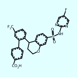 O=C(O)c1ccc(-c2cc(C(F)(F)F)ccc2C2CCOc3cc(S(=O)(=O)Nc4ncc(F)cn4)ccc32)cc1